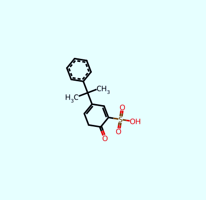 CC(C)(C1=CCC(=O)C(S(=O)(=O)O)=C1)c1ccccc1